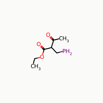 CCOC(=O)C(CP)C(C)=O